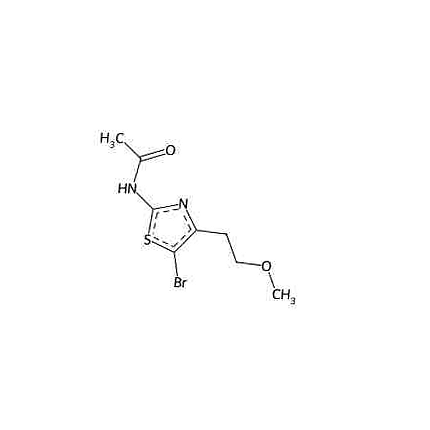 COCCc1nc(NC(C)=O)sc1Br